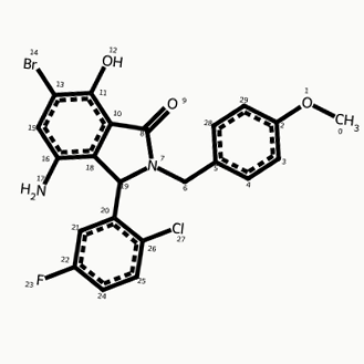 COc1ccc(CN2C(=O)c3c(O)c(Br)cc(N)c3C2c2cc(F)ccc2Cl)cc1